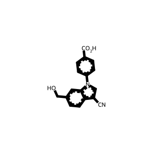 N#Cc1cn(-c2ccc(C(=O)O)cc2)c2cc(CO)ccc12